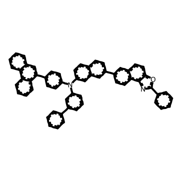 c1ccc(-c2cccc(N(c3ccc(-c4cc5ccccc5c5ccccc45)cc3)c3ccc4ccc(-c5ccc6c(ccc7oc(-c8ccccc8)nc76)c5)cc4c3)c2)cc1